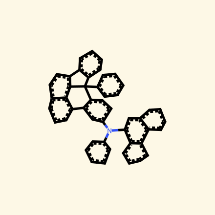 c1ccc(N(c2ccc3c(c2)-c2cccc4ccc5c(c24)C3(c2ccccc2)c2ccccc2-5)c2cc3ccccc3c3ccccc23)cc1